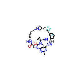 Cc1nc2c3c(n1)N(CC(=O)NCCCCN1CC(C1)CC(F)(F)c1cccc(c1F)[C@@H](C)N2)C(=O)N(C1(C#N)CC1)C3